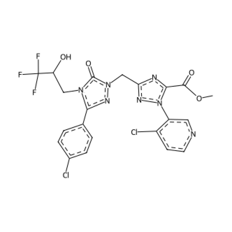 COC(=O)c1nc(Cn2nc(-c3ccc(Cl)cc3)n(CC(O)C(F)(F)F)c2=O)nn1-c1cnccc1Cl